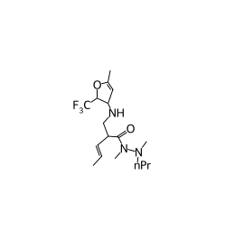 C/C=C/C(CNC1C=C(C)OC1C(F)(F)F)C(=O)N(C)N(C)CCC